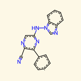 N#Cc1ncc(Nn2cnc3ccccc32)nc1-c1cc[c]cc1